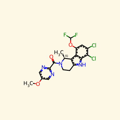 COc1cnc(C(=O)N2CCc3[nH]c4c(Cl)c(Cl)cc(OC(F)F)c4c3[C@@H]2C)nc1